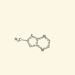 Cc1cc2nccnc2s1